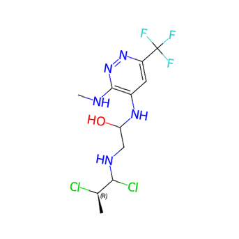 CNc1nnc(C(F)(F)F)cc1NC(O)CNC(Cl)[C@@H](C)Cl